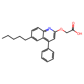 CCCCCc1ccc2nc(OCC(=O)O)cc(-c3ccccc3)c2c1